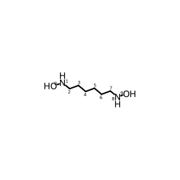 ONCCCCCCNO